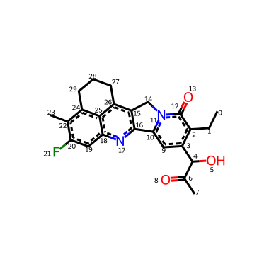 CCc1c(C(O)C(C)=O)cc2n(c1=O)Cc1c-2nc2cc(F)c(C)c3c2c1CCC3